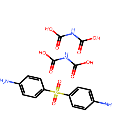 Nc1ccc(S(=O)(=O)c2ccc(N)cc2)cc1.O=C(O)NC(=O)O.O=C(O)NC(=O)O